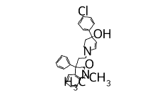 CN(C)C(=O)C(CCN1C=CC(O)(c2ccc(Cl)cc2)CC1)(c1ccccc1)c1ccccc1